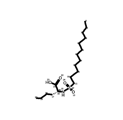 CCCCCCCCCCCCS(=O)(=O)N[C@H](CCCC)C(=O)O